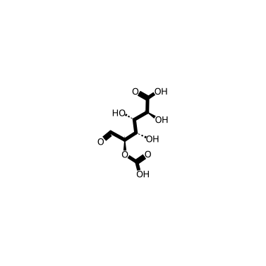 O=C[C@H](OC(=O)O)[C@@H](O)[C@H](O)[C@H](O)C(=O)O